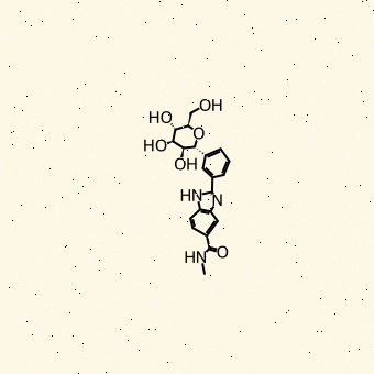 CNC(=O)c1ccc2[nH]c(-c3cccc([C@H]4O[C@H](CO)[C@@H](O)[C@H](O)[C@@H]4O)c3)nc2c1